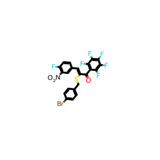 O=C(C(=Cc1ccc(F)c([N+](=O)[O-])c1)SCc1ccc(Br)cc1)c1c(F)c(F)c(F)c(F)c1F